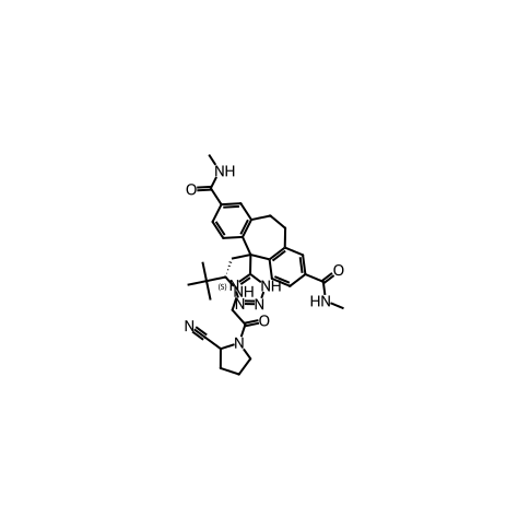 CNC(=O)c1ccc2c(c1)CCc1cc(C(=O)NC)ccc1C2(C[C@H](NCC(=O)N1CCCC1C#N)C(C)(C)C)c1nnn[nH]1